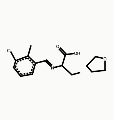 C1CCOC1.CCC(N=Cc1cccc(Cl)c1C)C(=O)O